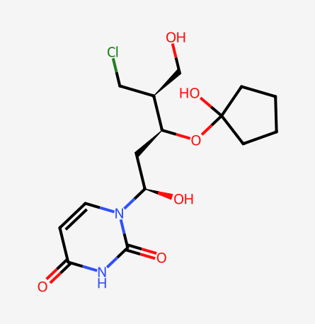 O=c1ccn([C@H](O)C[C@H](OC2(O)CCCC2)[C@H](CO)CCl)c(=O)[nH]1